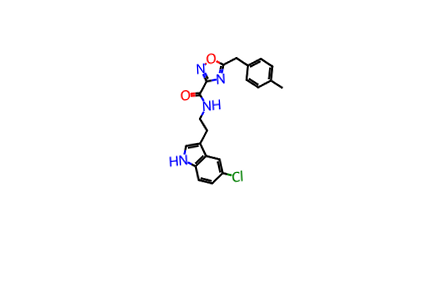 Cc1ccc(Cc2nc(C(=O)NCCc3c[nH]c4ccc(Cl)cc34)no2)cc1